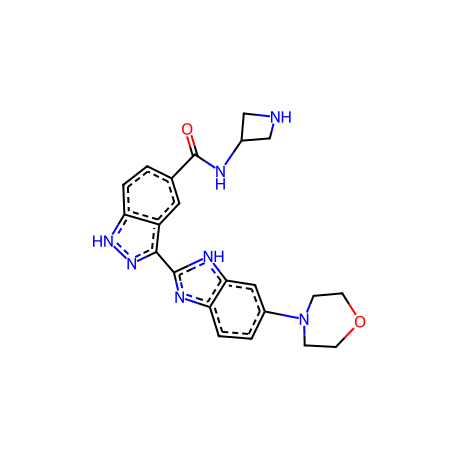 O=C(NC1CNC1)c1ccc2[nH]nc(-c3nc4ccc(N5CCOCC5)cc4[nH]3)c2c1